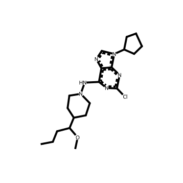 CCCC(OC)C1CCN(Nc2nc(Cl)nc3c2ncn3C2CCCC2)CC1